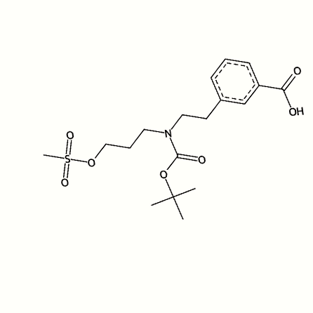 CC(C)(C)OC(=O)N(CCCOS(C)(=O)=O)CCc1cccc(C(=O)O)c1